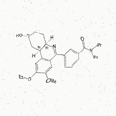 CCOc1cc2c(cc1OC)C(c1cccc(C(=O)N(C(C)C)C(C)C)c1)=N[C@@H]1CC[C@@H](O)C[C@H]21